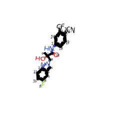 CC(O)(Cn1cc2cc(F)ccc2n1)C(=O)Nc1ccc(C#N)c(C(F)(F)F)c1